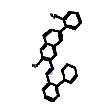 Cc1ccccc1-c1ccc2nc(N)c(/C=C/c3cccnc3C3C=CCCC3)cc2c1